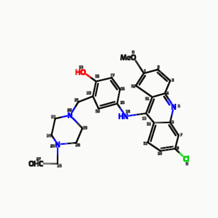 COc1ccc2nc3cc(Cl)ccc3c(Nc3ccc(O)c(CN4CCN(CC=O)CC4)c3)c2c1